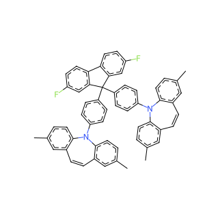 Cc1ccc2c(c1)C=Cc1cc(C)ccc1N2c1ccc(C2(c3ccc(N4c5ccc(C)cc5C=Cc5cc(C)ccc54)cc3)c3cc(F)ccc3-c3ccc(F)cc32)cc1